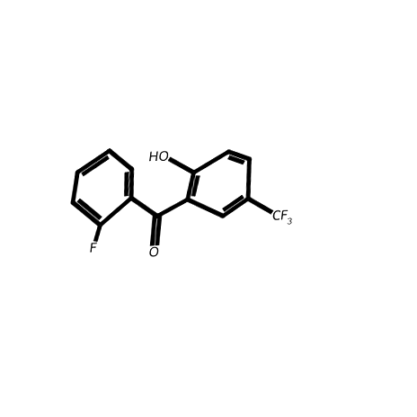 O=C(c1cc(C(F)(F)F)ccc1O)c1ccccc1F